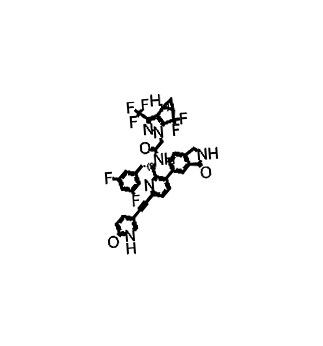 O=C(Cn1nc(C(F)(F)F)c2c1C(F)(F)C1C[C@H]21)N[C@@H](Cc1cc(F)cc(F)c1)c1nc(C#Cc2ccc(=O)[nH]c2)ccc1-c1ccc2c(c1)C(=O)NC2